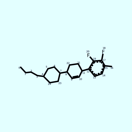 CCCCC1CCC(C2C=CC(c3ccc(C)c(F)c3F)CC2)CC1